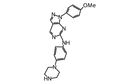 COc1ccc(-n2ncc3cnc(Nc4ccc(N5CCNCC5)cc4)nc32)cc1